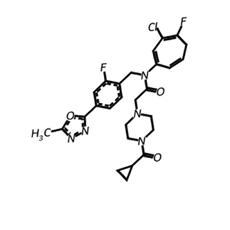 Cc1nnc(-c2ccc(CN(C(=O)CN3CCN(C(=O)C4CC4)CC3)C3=CC(Cl)=C(F)CC=C3)c(F)c2)o1